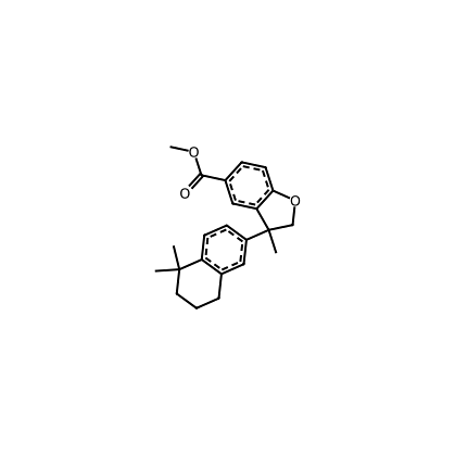 COC(=O)c1ccc2c(c1)C(C)(c1ccc3c(c1)CCCC3(C)C)CO2